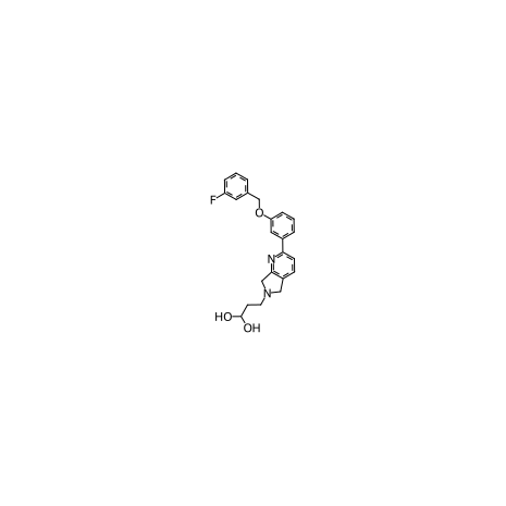 OC(O)CCN1Cc2ccc(-c3cccc(OCc4cccc(F)c4)c3)nc2C1